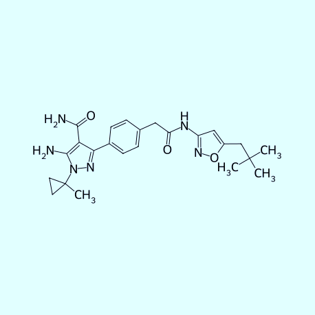 CC(C)(C)Cc1cc(NC(=O)Cc2ccc(-c3nn(C4(C)CC4)c(N)c3C(N)=O)cc2)no1